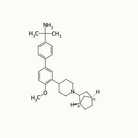 COc1ccc(-c2ccc(C(C)(C)N)cc2)cc1C1CCN(C2C[C@H]3CC[C@H]2C3)CC1